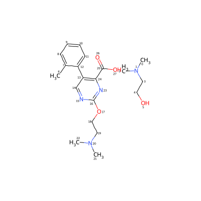 CN(C)CCO.Cc1ccccc1-c1cnc(OCCN(C)C)nc1C(=O)O